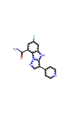 NC(=O)c1cc(F)cc2[nH]c3c(-c4ccncc4)cnn3c12